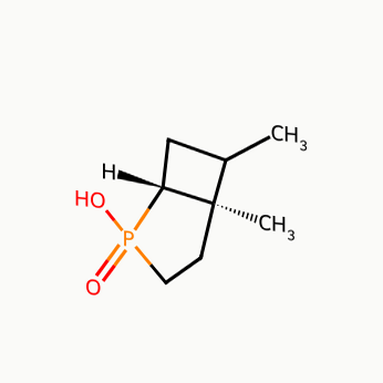 CC1C[C@@H]2[C@]1(C)CCP2(=O)O